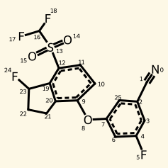 N#Cc1cc(F)cc(Oc2ccc(S(=O)(=O)C(F)F)c3c2CCC3F)c1